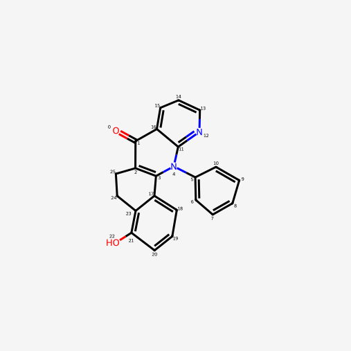 O=c1c2c(n(-c3ccccc3)c3ncccc13)-c1cccc(O)c1CC2